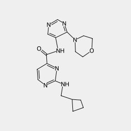 O=C(Nc1cncnc1N1CCOCC1)c1ccnc(NCC2CCC2)n1